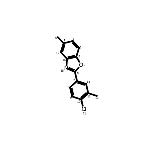 Cc1ccc2oc(-c3ccc(Cl)c(C)c3)nc2c1